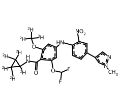 [2H]C([2H])([2H])Oc1cc(Nc2ccc(-c3cnn(C)c3)cc2[N+](=O)[O-])cc(OC(F)F)c1C(=O)NC1([2H])C([2H])([2H])C1([2H])[2H]